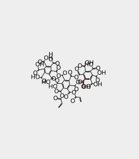 C=CC(=O)OC(=O)c1c(C(=O)O)c(C(=O)OC(=O)c2c(C(=O)O)c(C(=O)O)c(C(=O)O)c(C(=O)O)c2C(=O)O)c(C(=O)OC(=O)c2c(C(=O)O)c(C(=O)O)c(C(=O)O)c(C(=O)O)c2C(=O)O)c(C(=O)OC(=O)C=C)c1C(=O)OC(=O)C=C